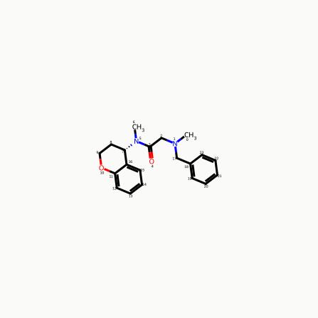 CN(CC(=O)N(C)[C@H]1CCOc2ccccc21)Cc1ccccc1